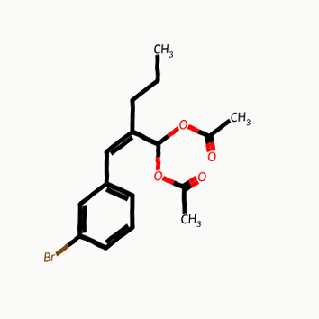 CCCC(=Cc1cccc(Br)c1)C(OC(C)=O)OC(C)=O